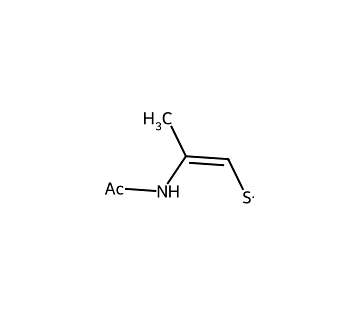 CC(=O)N/C(C)=C\[S]